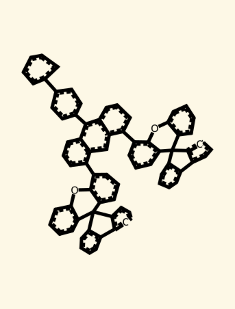 c1ccc(-c2ccc(-c3c4cccc(-c5cccc6c5Oc5ccccc5C65c6ccccc6-c6ccccc65)c4cc4c(-c5cccc6c5Oc5ccccc5C65c6ccccc6-c6ccccc65)cccc34)cc2)cc1